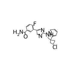 NC(=O)c1ccc(F)c(-c2cnc(NCC3(c4ccccn4)CC(Cl)C3)nc2)c1